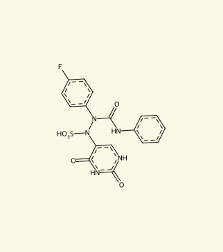 O=C(Nc1ccccc1)N(c1ccc(F)cc1)N(c1c[nH]c(=O)[nH]c1=O)S(=O)(=O)O